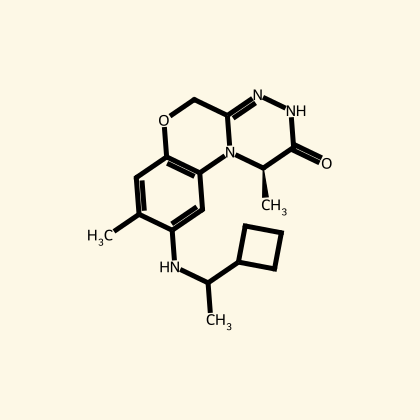 Cc1cc2c(cc1NC(C)C1CCC1)N1C(=NNC(=O)[C@H]1C)CO2